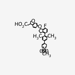 Cc1cc(C2=CCN(S(C)(=O)=O)CC2)cc(C)c1-c1ccc(F)c2c1CC[C@H]2Oc1ccc2c(c1)OCC2CC(=O)O